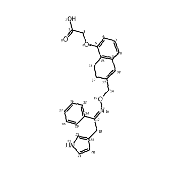 O=C(O)COc1cccc2c1CCC(CON=C(Cc1cc[nH]c1)c1ccccc1)=C2